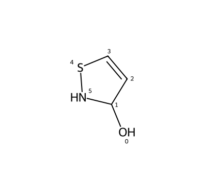 OC1C=CSN1